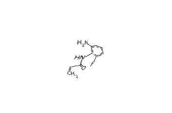 C=CC(=O)Nc1c(N)cccc1F